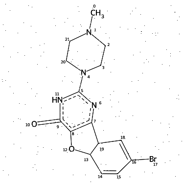 CN1CCN(c2nc3c(c(=O)[nH]2)OC2C=CC(Br)=CC32)CC1